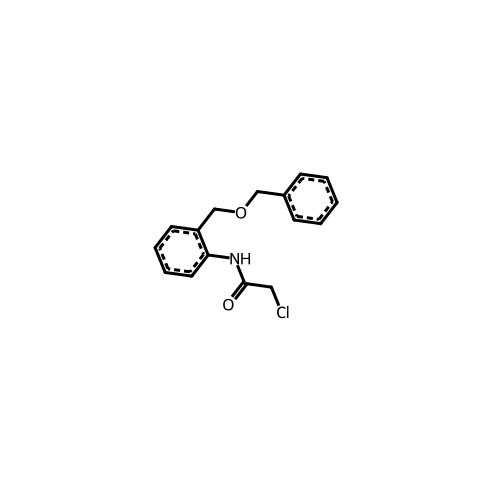 O=C(CCl)Nc1ccccc1COCc1ccccc1